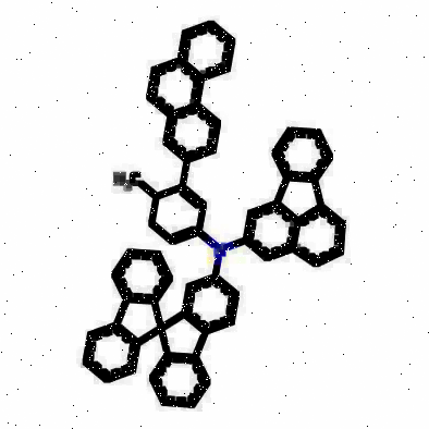 CC1CC=C(N(c2ccc3c(c2)C2(c4ccccc4-c4ccccc42)c2ccccc2-3)c2cc3c4c(cccc4c2)-c2ccccc2-3)C=C1c1ccc2c(ccc3ccccc32)c1